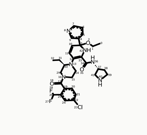 CCOC1(c2cccnc2)C=CC(N2CCN(C(=O)c3ccc(Cl)cc3C(F)F)C[C@H]2CC)=C(C(=O)N[C@@H]2CCNC2)N1